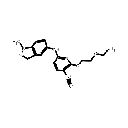 [C-]#[N+]c1ccc(Nc2ccc3c(c2)COB3C)nc1OCCOCC